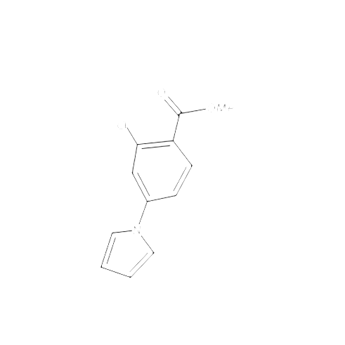 COC(=O)c1ccc(-n2cccc2)cc1Cl